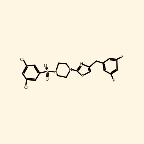 O=S(=O)(c1cc(Cl)cc(Cl)c1)N1CCN(c2nc(Cc3cc(F)cc(F)c3)cs2)CC1